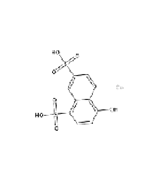 O=S(=O)(O)c1ccc2c(O)ccc(S(=O)(=O)O)c2c1.[Cu]